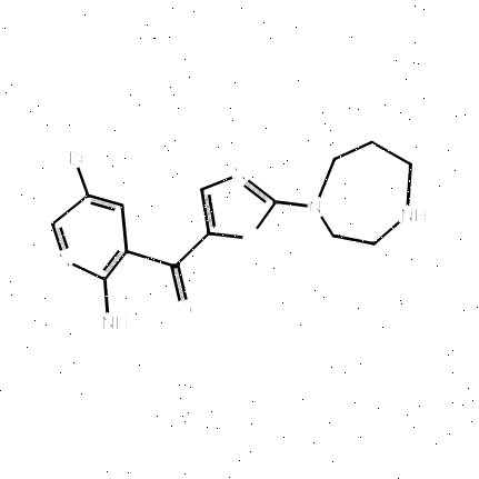 Nc1ncc(Br)cc1C(=O)c1cnc(N2CCCNCC2)s1